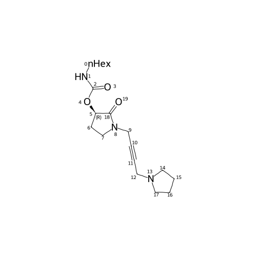 CCCCCCNC(=O)O[C@@H]1CCN(CC#CCN2CCCC2)C1=O